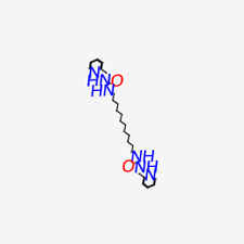 O=C(NCCCCCCCCCCCCNC(=O)NCc1ccccn1)NCc1ccccn1